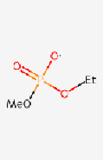 CCOP([O])(=O)OC